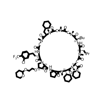 CC[C@H](C)[C@@H]1NC(=O)[C@H](CC(C)C)N(C)C(=O)C[C@@H](C(=O)N2CCCCC2)N(C)C(=O)[C@H](C2CCCCC2)N(C)C(=O)C2(CCCC2)NC(=O)[C@@H]2C[C@H](OCCOC3CCCCO3)CN2C(=O)[C@H](CCc2ccc(C(F)(F)F)c(Cl)c2)NC(=O)CN(C)C(=O)C(CC2CCCCC2)N(C)C(=O)CN(C)C(=O)CN(C)C1=O